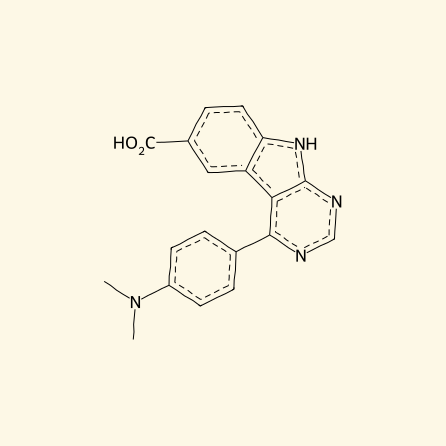 CN(C)c1ccc(-c2ncnc3[nH]c4ccc(C(=O)O)cc4c23)cc1